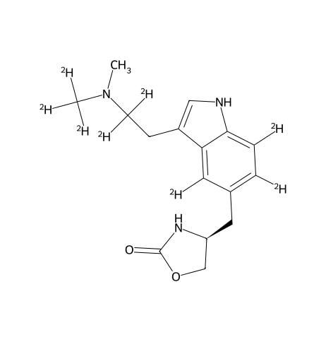 [2H]c1c(C[C@H]2COC(=O)N2)c([2H])c2c(CC([2H])([2H])N(C)C([2H])([2H])[2H])c[nH]c2c1[2H]